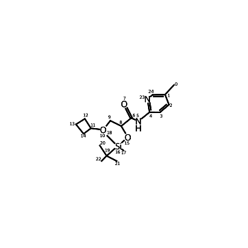 Cc1ccc(NC(=O)C(COC2CCC2)O[Si](C)(C)C(C)(C)C)nc1